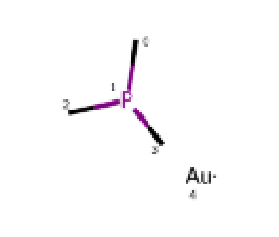 CP(C)C.[Au]